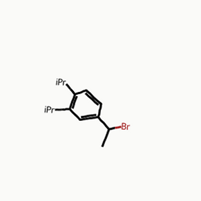 CC(C)c1ccc(C(C)Br)cc1C(C)C